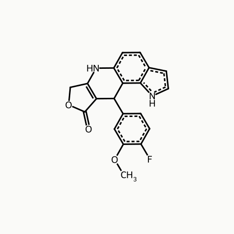 COc1cc(C2C3=C(COC3=O)Nc3ccc4cc[nH]c4c32)ccc1F